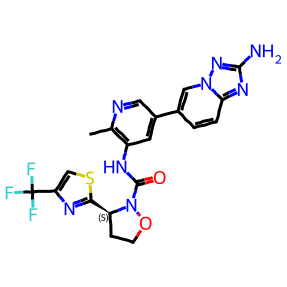 Cc1ncc(-c2ccc3nc(N)nn3c2)cc1NC(=O)N1OCC[C@H]1c1nc(C(F)(F)F)cs1